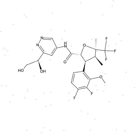 COc1c([C@H]2[C@H](C(=O)Nc3cnnc([C@@H](O)CO)c3)O[C@@](C)(C(F)(F)F)[C@H]2C)ccc(F)c1F